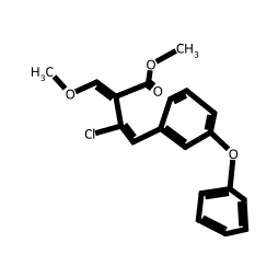 CO/C=C(C(=O)OC)\C(Cl)=C/c1cccc(Oc2ccccc2)c1